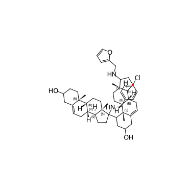 C[C@]12CCC(O)CC1=CC[C@@H]1[C@H]2CC[C@@]2(C)[C@H]1CCC2(NCc1ccc(Cl)cc1)C1CC(O)CC2=CC[C@@H]3[C@@H](CC[C@]4(C)C(NCc5ccco5)CC[C@@H]34)[C@]21C